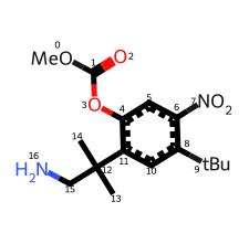 COC(=O)Oc1cc([N+](=O)[O-])c(C(C)(C)C)cc1C(C)(C)CN